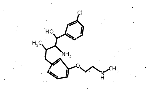 CNCCOc1cccc(CC(C)C(N)C(O)c2cccc(Cl)c2)c1